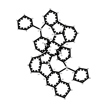 c1ccc(N(c2ccccc2)c2cccc3c4cccc5c6nc7c(nc6n(c23)c45)c2cccc3c4cc5ccccc5c(N(c5ccccc5)c5ccccc5)c4n7c32)cc1